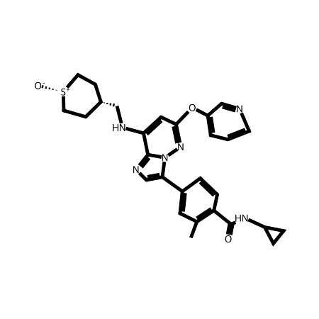 Cc1cc(-c2cnc3c(NC[C@H]4CC[S@@+]([O-])CC4)cc(Oc4cccnc4)nn23)ccc1C(=O)NC1CC1